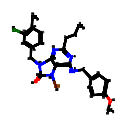 CCCc1nc(NCc2ccc(OC)cc2)c2c(n1)n(Cc1ccc(C)c(Cl)c1)c(=O)n2S